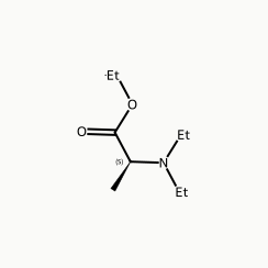 C[CH]OC(=O)[C@H](C)N(CC)CC